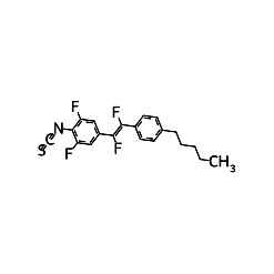 CCCCCc1ccc(/C(F)=C(\F)c2cc(F)c(N=C=S)c(F)c2)cc1